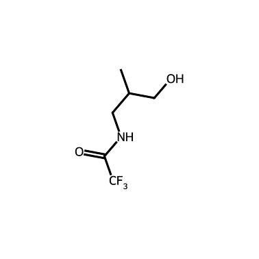 CC(CO)CNC(=O)C(F)(F)F